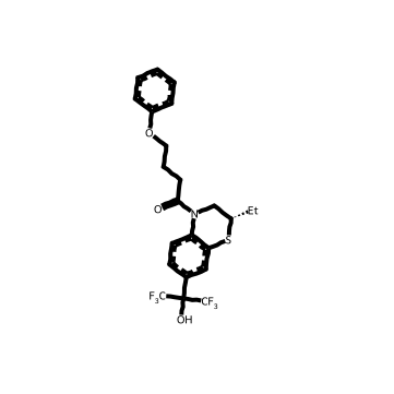 CC[C@H]1CN(C(=O)CCCOc2ccccc2)c2ccc(C(O)(C(F)(F)F)C(F)(F)F)cc2S1